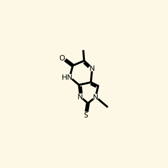 Cc1nc2cn(C)c(=S)nc2[nH]c1=O